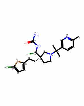 Cc1ccc(C(C)(C)N2CC[C@@](CCc3ccc(F)s3)([C@@H](F)NC(N)=O)C2)cn1